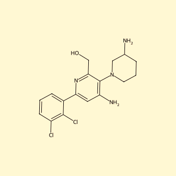 Nc1cc(-c2cccc(Cl)c2Cl)nc(CO)c1N1CCCC(N)C1